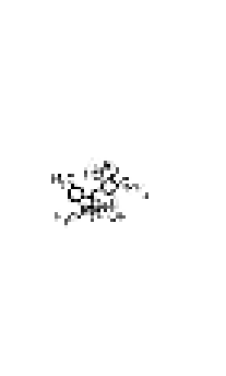 CCN1C(=O)C(Cc2ccc(OC)c(OC)c2O)(CN(C)C(=O)O)c2cc(C)ccc21